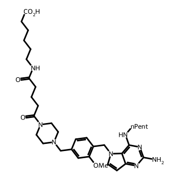 CCCCCNc1nc(N)nc2ccn(Cc3ccc(CN4CCN(C(=O)CCCC(=O)NCCCCCC(=O)O)CC4)cc3OC)c12